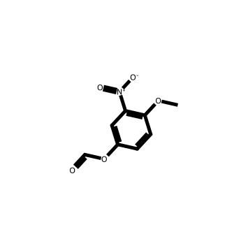 COc1ccc(OC=O)cc1[N+](=O)[O-]